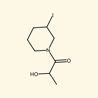 CC(O)C(=O)N1CCCC(I)C1